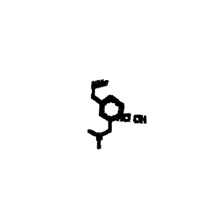 CNCc1cccc(CN(C)C)c1.Cl.Cl